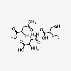 NC(=O)CC(N)C(=O)O.NC(=O)CC(N)C(=O)O.NC(CS)C(=O)O